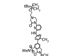 CNS(=O)(=O)c1cc(-c2sc(Nc3cccc(N4CCN(CCO[Si](C)(C)C(C)(C)C)CC4=O)n3)nc2C)cc2c1C(=O)N([C@@H](C)C1CC1)C2